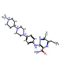 CCc1nc(C(N)=O)c(Nc2ccc(N3CCN(C4CCN(C)CC4)CC3)cc2)nc1Cl